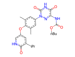 CCCCOC(=O)Nc1nn(-c2cc(C)c(Oc3c[nH]c(=O)c(C(C)C)c3)c(C)c2)c(=O)[nH]c1=O